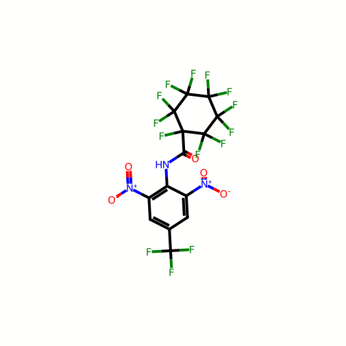 O=C(Nc1c([N+](=O)[O-])cc(C(F)(F)F)cc1[N+](=O)[O-])C1(F)C(F)(F)C(F)(F)C(F)(F)C(F)(F)C1(F)F